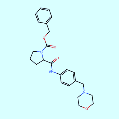 O=C(Nc1ccc(CN2CCOCC2)cc1)C1CCCN1C(=O)OCc1ccccc1